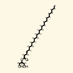 CCCCCCCCCCCCCCCCCCCCCCCCCC(=O)OC(CO)CO